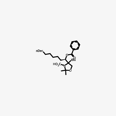 CCCCCCCCCCCCCCC[C@@H](OC(=O)c1ccccc1)C1(C(C)(C)C)COC(C)(C)N1C(=O)O